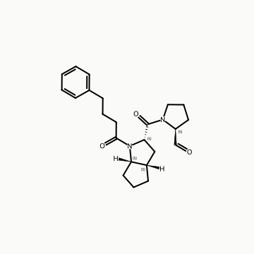 O=C[C@@H]1CCCN1C(=O)[C@@H]1C[C@@H]2CCC[C@@H]2N1C(=O)CCCc1ccccc1